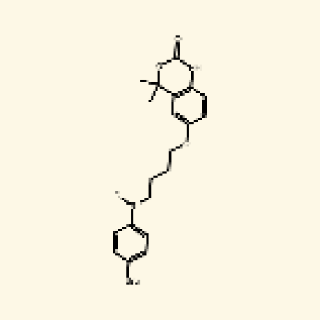 CC(C)(C)c1ccc([S+]([O-])CCCCOc2ccc3c(c2)C(C)(C)OC(=O)N3)cc1